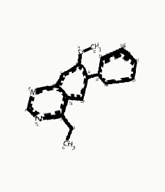 CCc1ncnc2cc(OC)c(-c3ccccc3)cc12